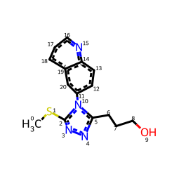 CSc1nnc(CCCO)n1-c1ccc2ncccc2c1